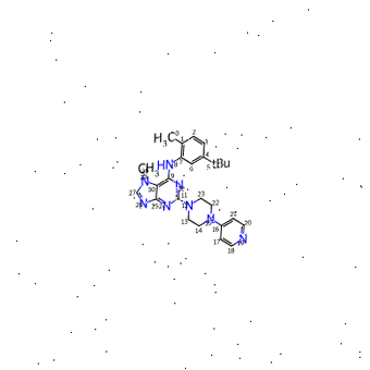 Cc1ccc(C(C)(C)C)cc1Nc1nc(N2CCN(c3ccncc3)CC2)nc2ncn(C)c12